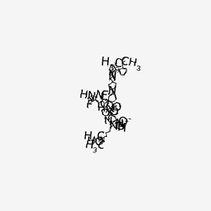 CC[C@@](C)(O)CCCCNc1ncc(S(=O)(=O)NC(=O)c2ccc(N3CCC4(CC3)CN([C@H]3CCC[C@H]3c3ccccc3C(C)C)C4)cc2Oc2cc3c(F)c[nH]c3nc2F)cc1[N+](=O)[O-]